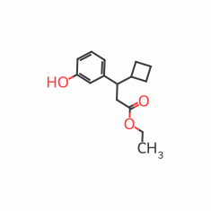 CCOC(=O)CC(c1cccc(O)c1)C1CCC1